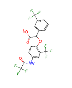 O=C(O)C(Oc1ccc(NC(=O)C(F)(F)F)cc1C(F)(F)F)c1cccc(C(F)(F)F)c1